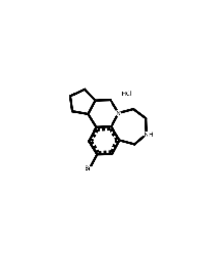 Brc1cc2c3c(c1)C1CCCC1CN3CCNC2.Cl